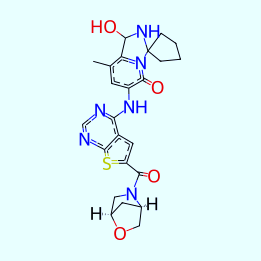 Cc1cc(Nc2ncnc3sc(C(=O)N4C[C@H]5C[C@@H]4CO5)cc23)c(=O)n2c1C(O)NC21CCCC1